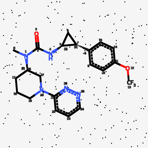 CN(C(=O)N[C@H]1C[C@@H]1c1ccc(OC(F)(F)F)cc1)[C@@H]1CCCN(c2cccnn2)C1